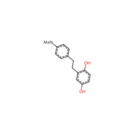 CNc1ccc(CCc2cc(O)ccc2O)cc1